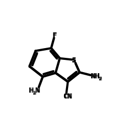 N#Cc1c(N)sc2c(F)ccc(N)c12